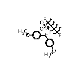 COc1ccc([I+]c2ccc(OC)cc2)cc1.O=S(=O)([O-])C(F)(F)C(F)(F)C(F)(F)C(F)(F)F